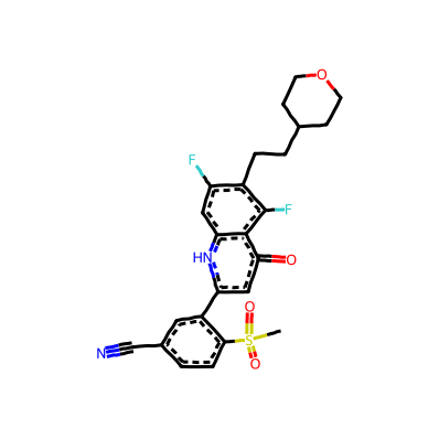 CS(=O)(=O)c1ccc(C#N)cc1-c1cc(=O)c2c(F)c(CCC3CCOCC3)c(F)cc2[nH]1